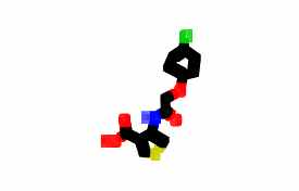 O=C(COc1ccc(Cl)cc1)Nc1cscc1C(=O)O